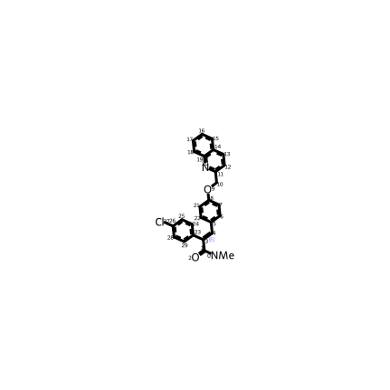 CNC(=O)/C(=C/c1ccc(OCc2ccc3ccccc3n2)cc1)c1ccc(Cl)cc1